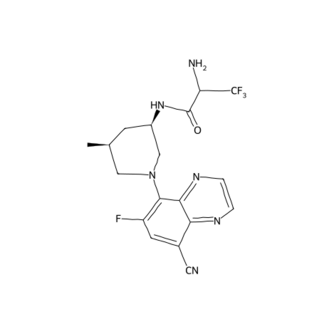 C[C@H]1C[C@@H](NC(=O)C(N)C(F)(F)F)CN(c2c(F)cc(C#N)c3nccnc23)C1